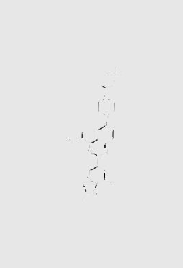 CCOC(=O)c1nc(-c2cc(F)c3nc(C)cn3c2)nc2ccc(N3CCN(C(=O)OC(C)(C)C)CC3)cc12